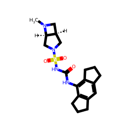 CN1C[C@H]2CN(S(=O)(=O)NC(=O)Nc3c4c(cc5c3CCC5)CCC4)C[C@H]21